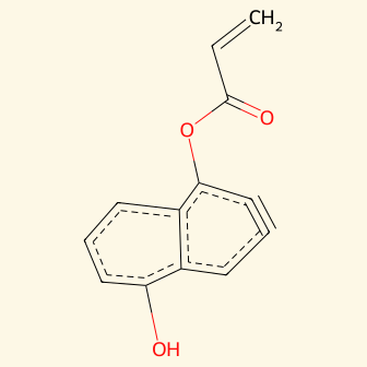 C=CC(=O)Oc1c#ccc2c(O)cccc12